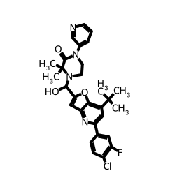 CC(C)(C)c1cc(-c2ccc(Cl)c(F)c2)nc2cc(C(O)N3CCN(c4cccnc4)C(=O)C3(C)C)oc12